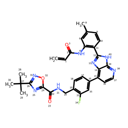 C=CC(=O)Nc1cc(C)ccc1-c1nc2c(-c3ccc(CNC(=O)c4nc(C(C)(C)C)no4)c(F)c3)ccnc2[nH]1